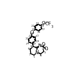 O=S1(=O)CCN2CCCC(c3ccc(Oc4ccc(OC(F)(F)F)cc4)cc3)C2=N1